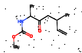 C=CC(CC(=O)C(NC(=O)OC(C)(C)C)C(C)C)C(C)C